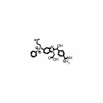 CN(C)CCN(c1ccc2c(c1)nc(C(O)c1ccc(C(=N)N)cc1)n2CC(=O)O)S(=O)(=O)c1ccccc1